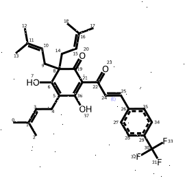 CC(C)=CCC1=C(O)C(CC=C(C)C)(CC=C(C)C)C(=O)C(C(=O)/C=C/c2ccc(C(F)(F)F)cc2)=C1O